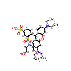 CCN(CC)c1ccc2c(c1)Oc1cc(N(CC)CC)ccc1C2c1ccc(S(=O)(=O)O)cc1S(=O)(=O)N(CCO)CCO